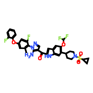 Cc1cc(Oc2ccccc2F)cc(F)c1-n1ncc(C(=O)c2cc3cc(OC(F)F)c(C4CCN(S(=O)(=O)C5CC5)CC4)cc3[nH]2)c1N